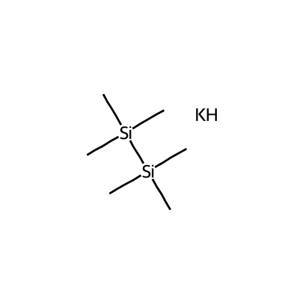 C[Si](C)(C)[Si](C)(C)C.[KH]